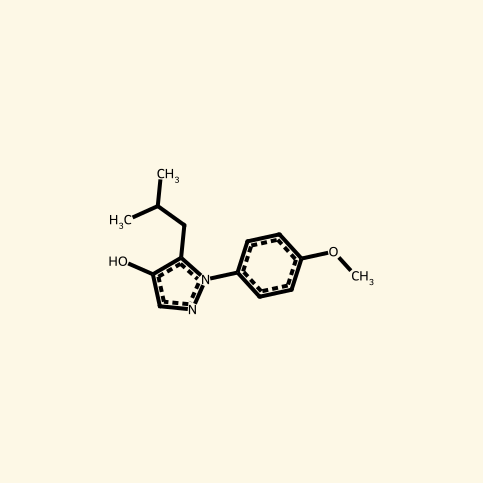 COc1ccc(-n2ncc(O)c2CC(C)C)cc1